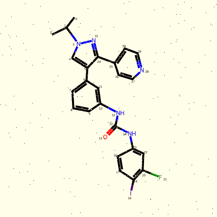 CC(C)n1cc(-c2cccc(NC(=O)Nc3ccc(I)c(F)c3)c2)c(-c2ccncc2)n1